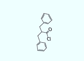 O=C(Cl)C(Cc1ccccc1)Cc1ccccc1